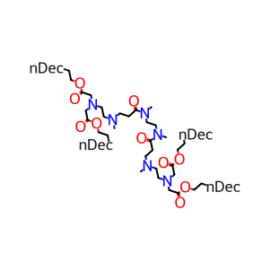 CCCCCCCCCCCCOC(=O)CN(CCN(C)CCC(=O)N(C)CCN(C)C(=O)CCN(C)CCN(CC(=O)OCCCCCCCCCCCC)CC(=O)OCCCCCCCCCCCC)CC(=O)OCCCCCCCCCCCC